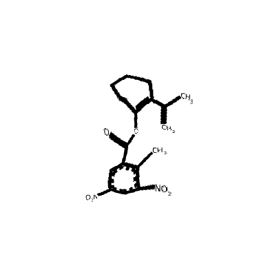 C=C(C)C1=C(OC(=O)c2cc([N+](=O)[O-])cc([N+](=O)[O-])c2C)CCCC1